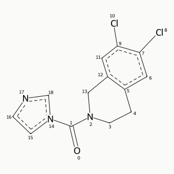 O=C(N1CCc2cc(Cl)c(Cl)cc2C1)n1ccnc1